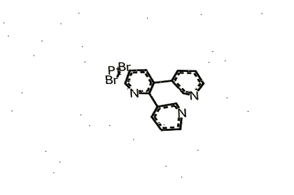 BrBr.[Pt].c1cncc(-c2cccnc2-c2cccnc2)c1